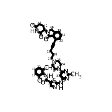 Cc1nc(Nc2ncc(C(=O)Nc3c(C)cccc3Cl)s2)cc(N2CCN(CCCC#Cc3cccc4c3C(=O)N(C3CCC(=O)NC3=O)C4)CC2)n1